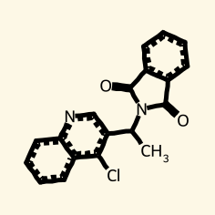 CC(c1cnc2ccccc2c1Cl)N1C(=O)c2ccccc2C1=O